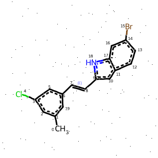 Cc1cc(Cl)cc(/C=C/c2cc3ccc(Br)cc3[nH]2)c1